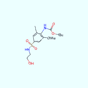 COc1cc(S(=O)(=O)NCCO)cc(C)c1NC(=O)OC(C)(C)C